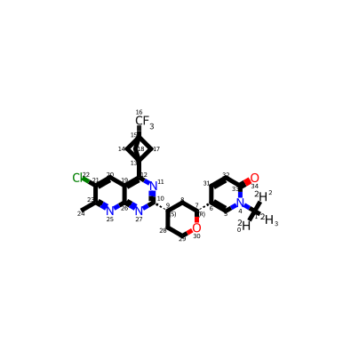 [2H]C([2H])([2H])n1cc([C@H]2C[C@@H](c3nc(C45CC(C(F)(F)F)(C4)C5)c4cc(Cl)c(C)nc4n3)CCO2)ccc1=O